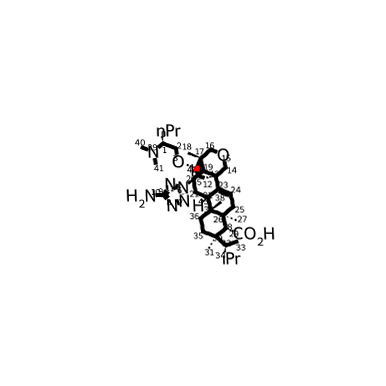 CCC[C@H](CO[C@H]1[C@H](n2nnc(N)n2)C[C@@]23COC[C@]1(C)[C@@H]2CC[C@H]1C3=CC[C@@]2(C)[C@H](C(=O)O)[C@@](C)([C@H](C)C(C)C)CC[C@]12C)N(C)C